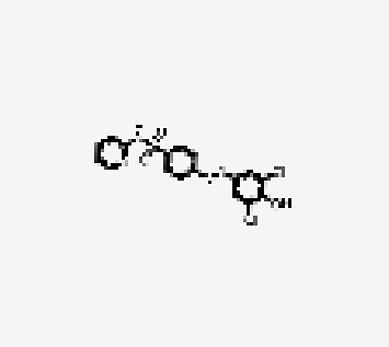 O=S(=O)(Nc1ccccn1)c1ccc(/N=N/c2cc(Cl)c(O)c(Cl)c2)cc1